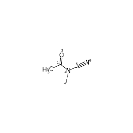 CC(=O)N(I)C#N